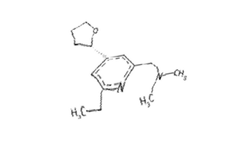 CCc1cc([C@@H]2CCCO2)cc(CN(C)C)n1